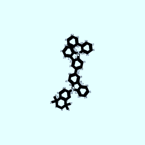 CC1(C)CCC(C)(C)c2cc(-n3c4ccccc4c4cc(-c5ccc6c(c5)c5ccccc5n6-c5ccccc5-c5ccccc5)ccc43)ccc21